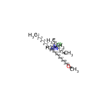 CCCCCCCCCCCCCCCCCCCCCCOCC.CCCCCN[N+](C)(C)CCC.[Cl-]